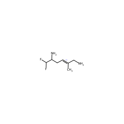 C/C(=C\CC(N)C(F)F)CN